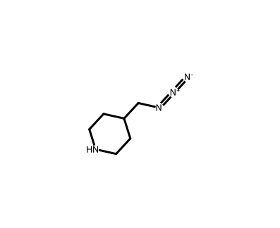 [N-]=[N+]=NCC1CCNCC1